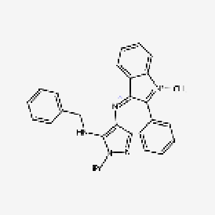 CC(C)n1ncc(/N=C2\C(c3ccccc3)=[N+](C)c3ccccc32)c1NCc1ccccc1